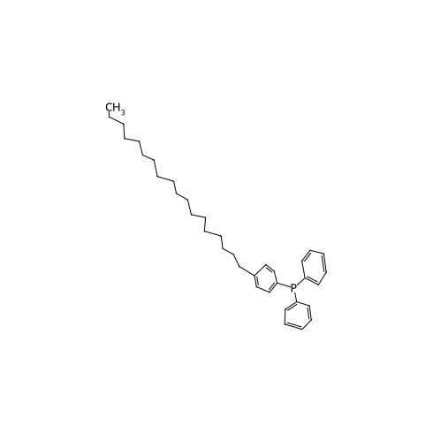 CCCCCCCCCCCCCCCCCCc1ccc(P(c2ccccc2)c2ccccc2)cc1